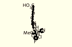 COC(=O)C1=C(COCc2cn(CCOCCOCCOCC(=O)O)nn2)NC(c2ccncc2)=NC1c1ccc(F)cc1Cl